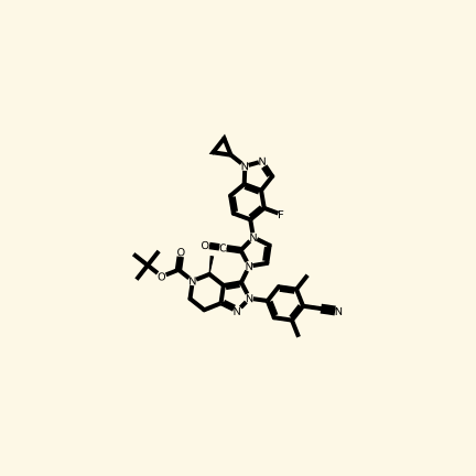 Cc1cc(-n2nc3c(c2N2C=CN(c4ccc5c(cnn5C5CC5)c4F)C2=C=O)[C@H](C)N(C(=O)OC(C)(C)C)CC3)cc(C)c1C#N